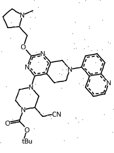 CN1CCCC1COc1nc2c(c(N3CCN(C(=O)OC(C)(C)C)C(CC#N)C3)n1)CCN(c1cccc3ncccc13)C2